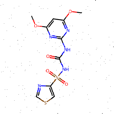 COc1cc(OC)nc(NC(=O)NS(=O)(=O)c2cscn2)n1